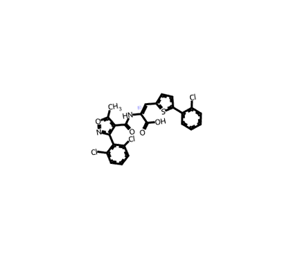 Cc1onc(-c2c(Cl)cccc2Cl)c1C(=O)N/C(=C/c1ccc(-c2ccccc2Cl)s1)C(=O)O